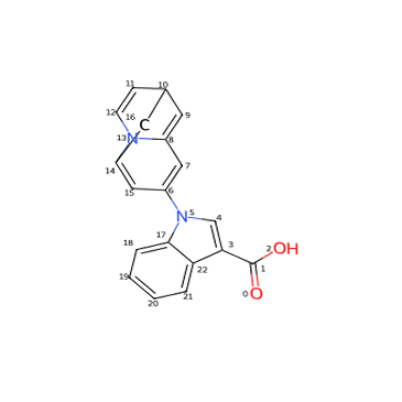 O=C(O)c1cn(C2=CC3=CC4C=CN3C(=C2)C4)c2ccccc12